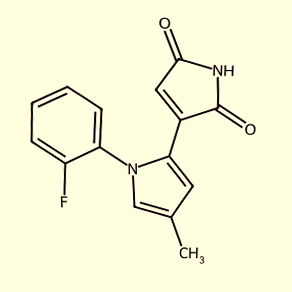 Cc1cc(C2=CC(=O)NC2=O)n(-c2ccccc2F)c1